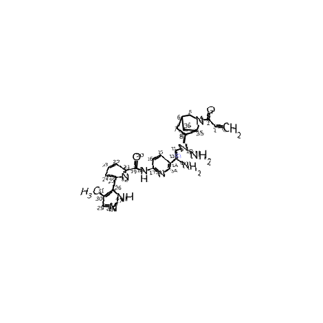 C=CC(=O)N1CC2CC(N(N)/C=C(\N)c3ccc(NC(=O)c4cccc(-c5[nH]ncc5C)n4)nc3)C1C2